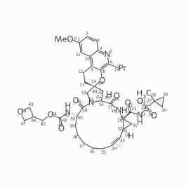 COc1ccc2nc(C(C)C)c3c(c2c1)CC[C@]1(C[C@H]2C(=O)N[C@]4(C(=O)NS(=O)(=O)C5(C)CC5)C[C@H]4/C=C\CCCCC[C@H](NC(=O)OCC4COC4)C(=O)N2C1)O3